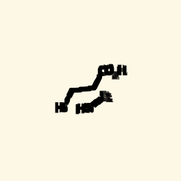 CCS.O=C(O)CCS